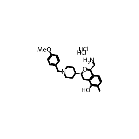 COc1ccc(CN2CCC([C@@H]3Cc4c(ccc(C)c4O)[C@H](CN)O3)CC2)cc1.Cl.Cl